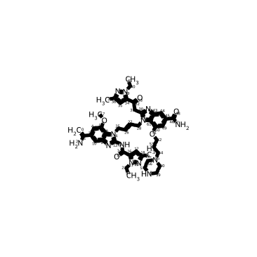 C=C(N)c1cc(OC)c2c(c1)nc(NC(=O)c1cc(C)nn1CC)n2C/C=C/Cn1c(CC(=O)c2cc(C)nn2CC)nc2cc(C(N)=O)cc(OCCCN3CCNCC3)c21